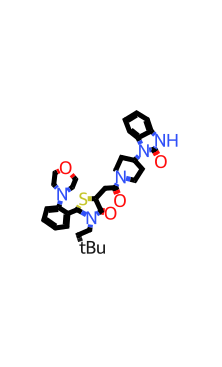 CC(C)(C)CCN1C(=O)C(CC(=O)N2CCC(n3c(=O)[nH]c4ccccc43)CC2)SC1c1ccccc1N1CCOCC1